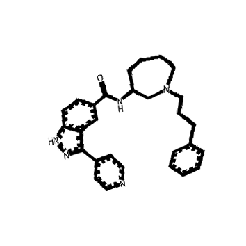 O=C(NC1CCCCN(CCCc2ccccc2)C1)c1ccc2[nH]nc(-c3ccncc3)c2c1